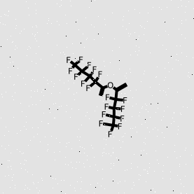 C=C(OC(=C)C(F)(F)C(F)(F)C(F)(F)C(F)(F)F)C(F)(F)C(F)(F)C(F)(F)C(F)(F)F